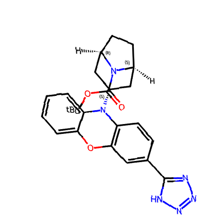 CC(C)(C)OC(=O)N1[C@@H]2CC[C@H]1C[C@H](N1c3ccccc3Oc3cc(-c4nnn[nH]4)ccc31)C2